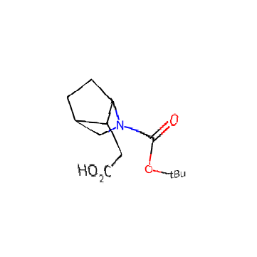 CC(C)(C)OC(=O)N1CC2CCC1C2CC(=O)O